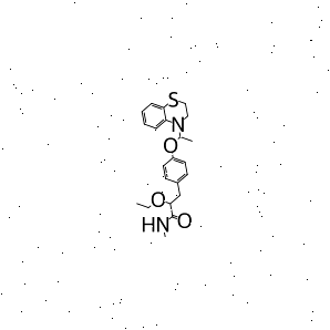 CCOC(Cc1ccc(OC(C)N2CCSc3ccccc32)cc1)C(=O)NC